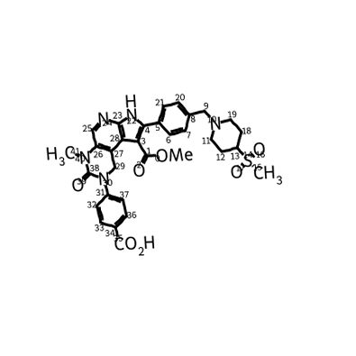 COC(=O)c1c(-c2ccc(CN3CCC(S(C)(=O)=O)CC3)cc2)[nH]c2ncc3c(c12)CN(c1ccc(C(=O)O)cc1)C(=O)N3C